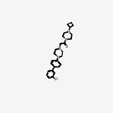 CCc1cccc(-c2ccc(N3CCN(CC(=O)N4CCN(C5CCC5)CC4)CC3)cc2)c1